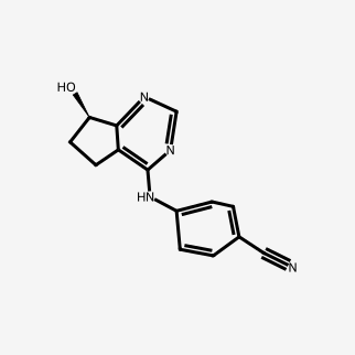 N#Cc1ccc(Nc2ncnc3c2CC[C@H]3O)cc1